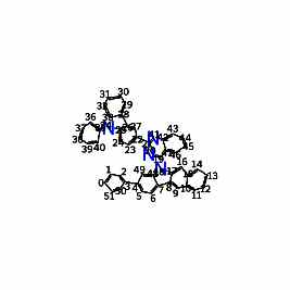 c1ccc(-c2ccc3c4cc5ccccc5cc4n(-c4nc(-c5ccc6c(c5)c5ccccc5n6-c5ccccc5)nc5ccccc45)c3c2)cc1